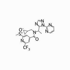 CC(c1ncnn1-c1ncccn1)N(CC1CC1)C(=O)c1cc([S+](C)[O-])nc(C(F)(F)F)c1